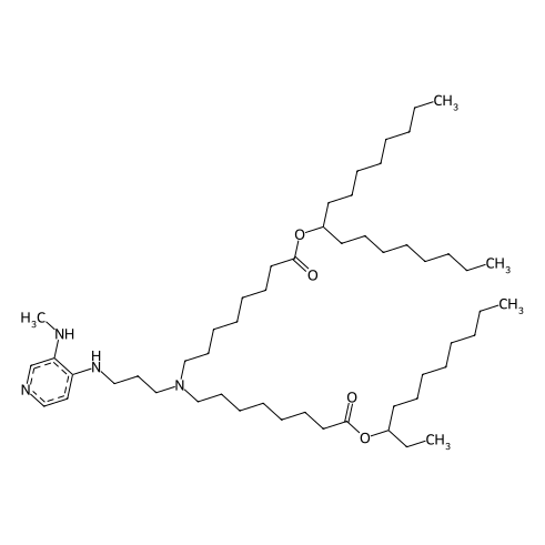 CCCCCCCCC(CC)OC(=O)CCCCCCCN(CCCCCCCC(=O)OC(CCCCCCCC)CCCCCCCC)CCCNc1ccncc1NC